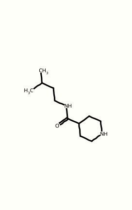 CC(C)CCNC(=O)C1CCNCC1